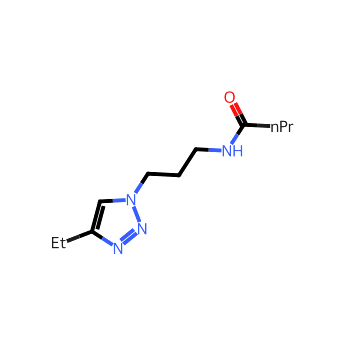 CCCC(=O)NCCCn1cc(CC)nn1